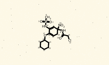 CS(=O)(=O)NC1=CC(NC(=O)CCl)([N+](=O)[O-])CC=C1OC1CCCCC1